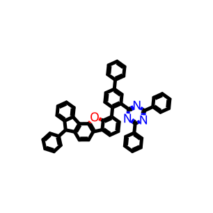 c1ccc(-c2ccc(-c3cccc4c3oc3c5c(ccc34)C(c3ccccc3)c3ccccc3-5)c(-c3nc(-c4ccccc4)nc(-c4ccccc4)n3)c2)cc1